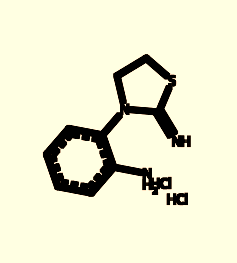 Cl.Cl.N=C1SCCN1c1ccccc1N